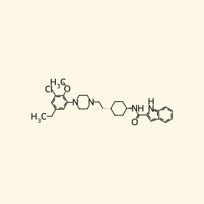 CCc1cc(Cl)c(OC)c(N2CCN(CC[C@H]3CC[C@H](NC(=O)c4cc5ccccc5[nH]4)CC3)CC2)c1